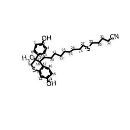 CC1(c2ccc(O)cc2)CSc2cc(O)ccc2C1CCCCCCCCCSCCCCC#N